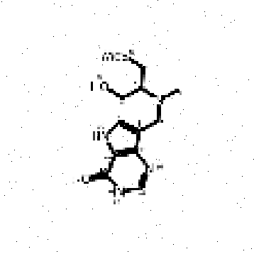 CSCC(CO)N(C)Cc1c[nH]c2c(=O)[nH]cnc12